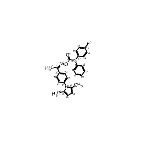 C/C(=N/OC(=O)N(c1ccccc1)c1ccc(F)cc1)c1ccc(-n2c(C)ccc2C)cc1